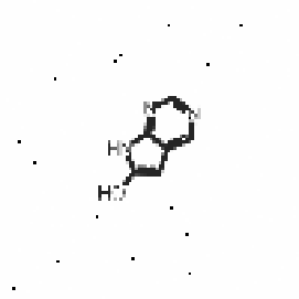 Oc1cc2cncnc2[nH]1